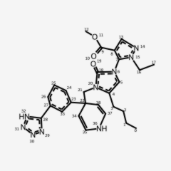 CCCCc1cn(-c2c(C(=O)OC)cnn2CC)c(=O)n1CC1(c2cccc(-c3nnn[nH]3)c2)C=CNC=C1